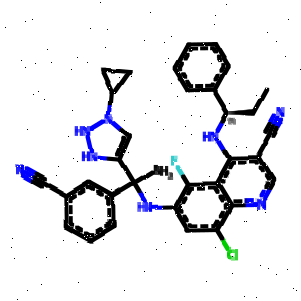 BC(Nc1cc(Cl)c2ncc(C#N)c(N[C@H](CC)c3ccccc3)c2c1F)(C1=CN(C2CC2)NN1)c1cccc(C#N)c1